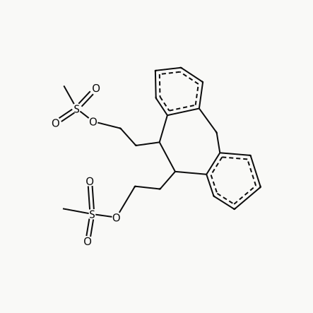 CS(=O)(=O)OCCC1c2ccccc2Cc2ccccc2C1CCOS(C)(=O)=O